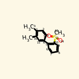 Cc1ccc(-c2[c]cccc2S(C)(=O)=O)cc1C